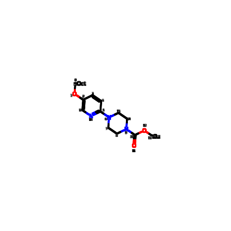 CCCCCCCCOc1ccc(N2CCN(C(=O)OC(C)(C)C)CC2)nc1